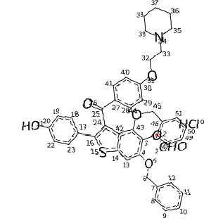 Cl.O=COc1c(OCc2ccccc2)cc2sc(-c3ccc(O)cc3)c(C(=O)c3ccc(OCCN4CCCCC4)cc3)c2c1OCc1ccccc1